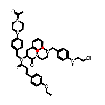 CCOc1ccc(C=CC(=O)N(Cc2ccc(N3CCN(C(C)=O)CC3)cc2)C(Cc2ccccc2)C(=O)N2CCN(Cc3ccc(N(C)CCO)cc3)CC2)cc1